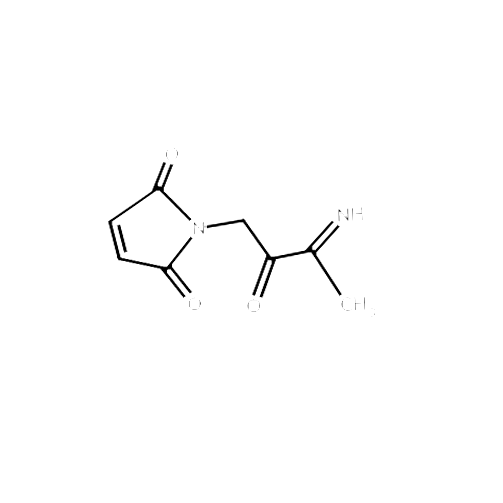 CC(=N)C(=O)CN1C(=O)C=CC1=O